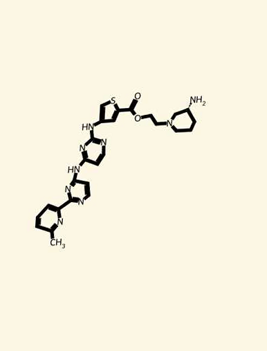 Cc1cccc(-c2nccc(Nc3ccnc(Nc4csc(C(=O)OCCN5CCC[C@@H](N)C5)c4)n3)n2)n1